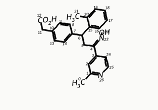 Cc1cc(/C(CC(c2ccc(CC(=O)O)cc2)c2ccccc2C)=N/O)ccn1